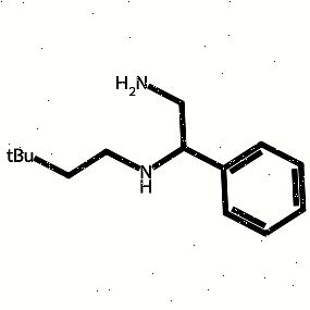 CC(C)(C)CCNC(CN)c1ccccc1